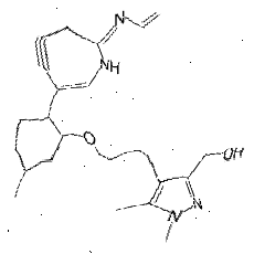 C=C/N=C1/CC#CC(C2CCC(C)CC2OCCc2c(CO)nn(C)c2C)=CN1